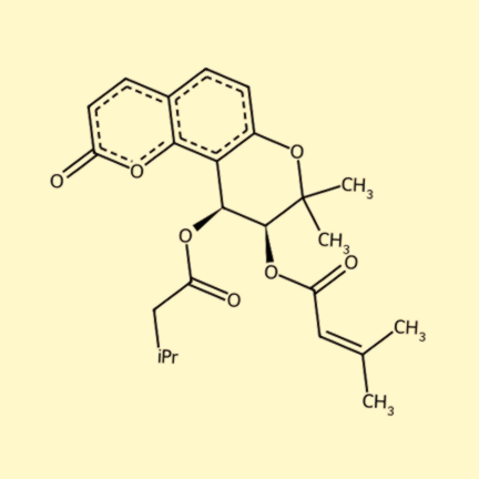 CC(C)=CC(=O)O[C@H]1[C@@H](OC(=O)CC(C)C)c2c(ccc3ccc(=O)oc23)OC1(C)C